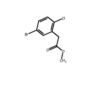 COC(=O)Cc1cc(Br)ccc1Cl